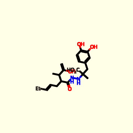 C=C(O)C(C)C(C/C=C/CC)C(=O)NNC(C)(Cc1ccc(O)c(O)c1)C(=O)O